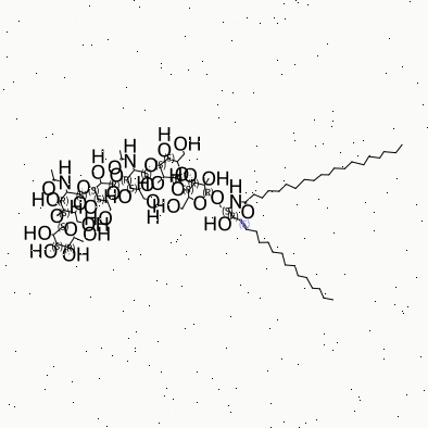 CCCCCCCCCCCCC/C=C/[C@@H](O)[C@H](CO[C@@H]1OC(CO)[C@@H](O[C@@H]2OC(CO)[C@H](O)[C@H](O[C@@H]3OC(CO)[C@@H](O)[C@H](O[C@@H]4OC(CO)[C@H](O)[C@H](O[C@@H]5OC(CO)[C@@H](O[C@@H]6OC(CO)[C@H](O)[C@H](O)C6O)[C@H](O)C5NC(C)=O)C4O)C3NC(C)=O)C2O)[C@H](O)C1O)NC(=O)CCCCCCCCCCCCCCCCCCC